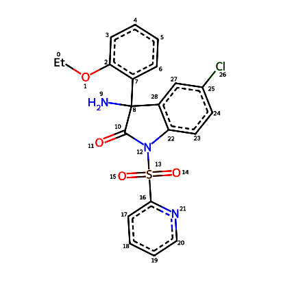 CCOc1ccccc1C1(N)C(=O)N(S(=O)(=O)c2ccccn2)c2ccc(Cl)cc21